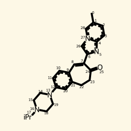 Cc1ccc2nc(C3=Cc4ccc(N5CCN(C(C)C)CC5)cc4CCC3=O)cn2c1